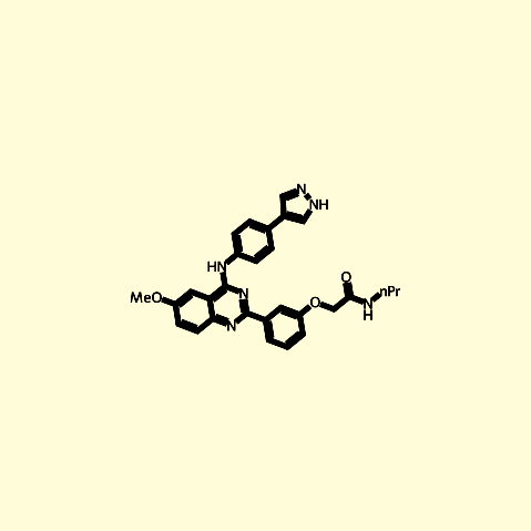 CCCNC(=O)COc1cccc(-c2nc(Nc3ccc(-c4cn[nH]c4)cc3)c3cc(OC)ccc3n2)c1